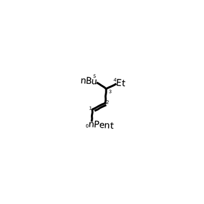 [CH2]CCCCC=CC(CC)CCC[CH2]